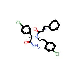 NC(=O)[C@H](c1ccc(Cl)cc1)N(CCc1ccc(Cl)cc1)C(=O)/C=C/c1ccccc1